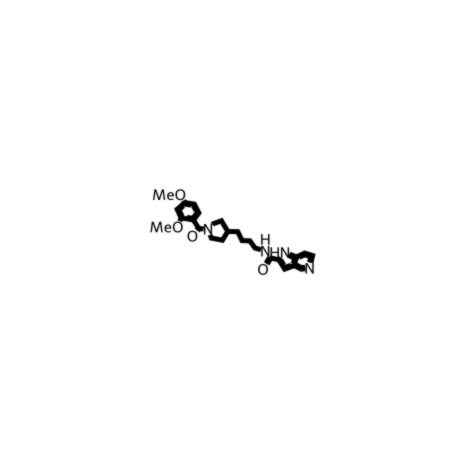 COc1ccc(C(=O)N2CCC(CCCCNC(=O)c3cc4cnccc4[nH]3)CC2)c(OC)c1